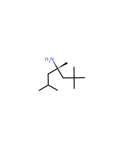 CC(C)C[C@](C)(N)CC(C)(C)C